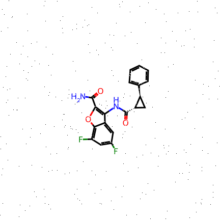 NC(=O)c1oc2c(F)cc(F)cc2c1NC(=O)[C@H]1C[C@@H]1c1ccccc1